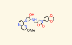 COc1ccc2nccc(N3C[C@@H](O)[C@H](NCC4CN(c5ccc6c(c5)OCCO6)C(=O)O4)C3)c2n1